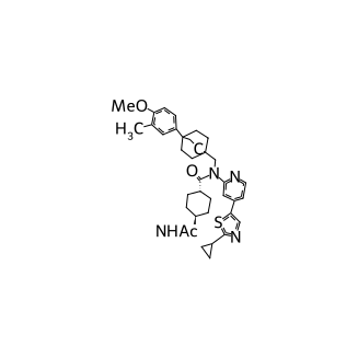 COc1ccc(C23CCC(CN(c4cc(-c5cnc(C6CC6)s5)ccn4)C(=O)[C@H]4CC[C@H](NC(C)=O)CC4)(CC2)CC3)cc1C